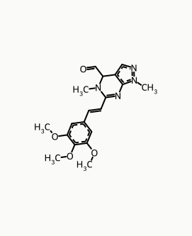 COc1cc(C=CC2=Nc3c(cnn3C)C(C=O)N2C)cc(OC)c1OC